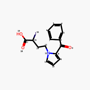 O=C(c1ccccc1)c1cccn1CCC(I)C(=O)O